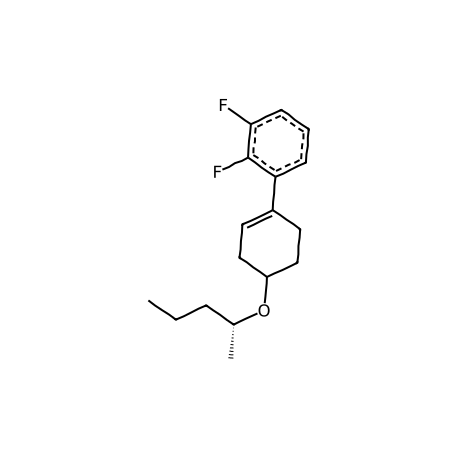 CCC[C@@H](C)OC1CC=C(c2cccc(F)c2F)CC1